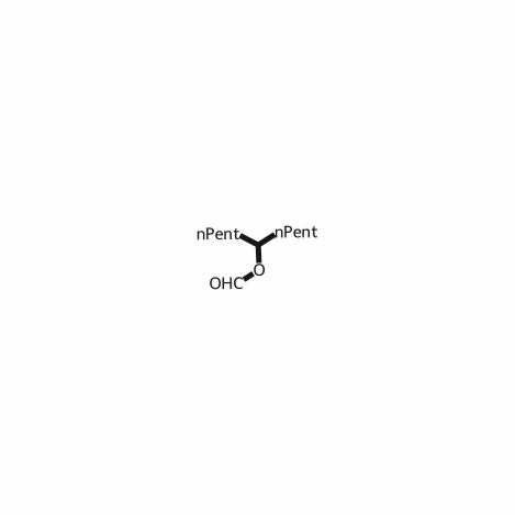 CCCCCC(CCCCC)OC=O